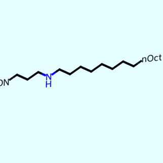 CCCCCCCCCCCCCCCCNCCCN=O